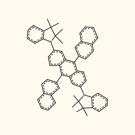 CC1(C)c2ccccc2N(c2ccc3c(-c4ccc5ccccc5c4)c4cc(N5c6ccccc6C(C)(C)C5(C)C)ccc4c(-c4ccc5ccccc5c4)c3c2)C1(C)C